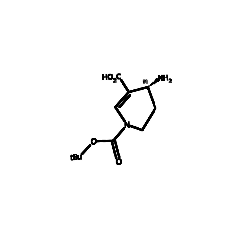 CC(C)(C)OC(=O)N1C=C(C(=O)O)[C@H](N)CC1